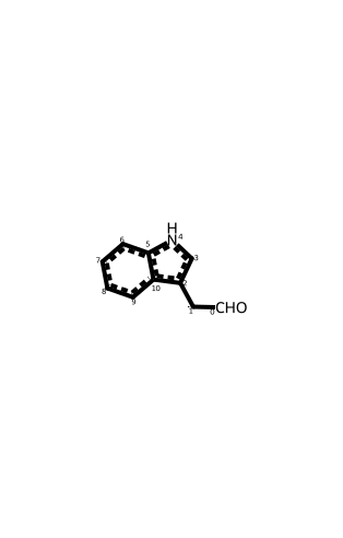 O=C[CH]c1c[nH]c2ccccc12